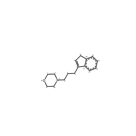 C1=C(CCCN2CCOCC2)c2ccccc2C1